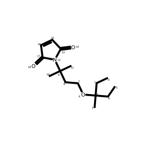 CCC(C)(CC)OCCC(C)(C)N1C(=O)C=CC1=O